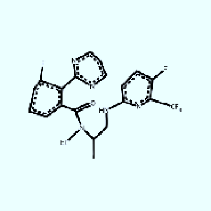 CCN(C(=O)c1cccc(F)c1-c1ncccn1)C(C)CNc1ccc(F)c(C(F)(F)F)n1